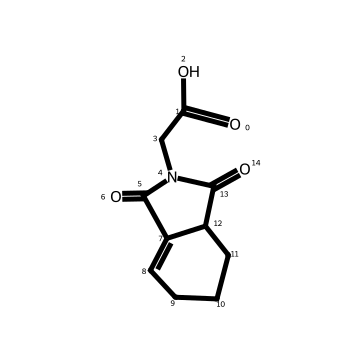 O=C(O)CN1C(=O)C2=CCCCC2C1=O